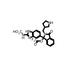 O=C(O)Nc1nc2cc(C3(OC(=O)C(F)(F)F)c4ccccc4C(=O)N3CC3CCNC3)ccc2[nH]1